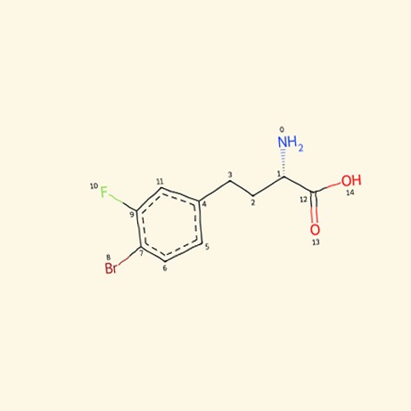 N[C@@H](CCc1ccc(Br)c(F)c1)C(=O)O